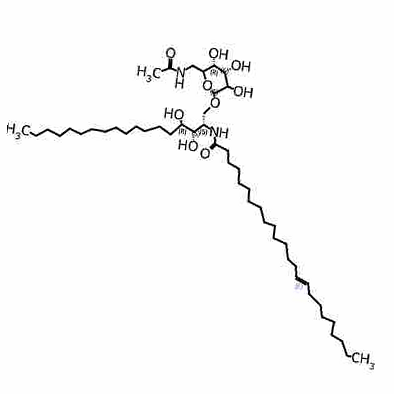 CCCCCCCC/C=C/CCCCCCCCCCCCCC(=O)N[C@@H](CO[C@H]1OC(CNC(C)=O)[C@H](O)[C@H](O)C1O)[C@H](O)[C@H](O)CCCCCCCCCCCCCC